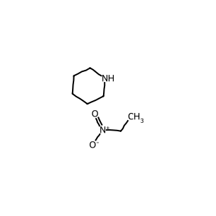 C1CCNCC1.CC[N+](=O)[O-]